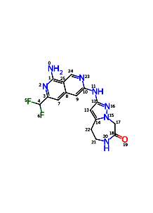 Nc1nc(C(F)F)cc2cc(Nc3cc4n(n3)CC(=O)NCC4)ncc12